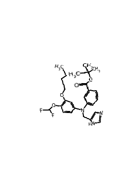 CCCCOc1cc(N(Cc2cnc[nH]2)c2cccc(C(=O)OC(C)(C)C)c2)ccc1OC(F)F